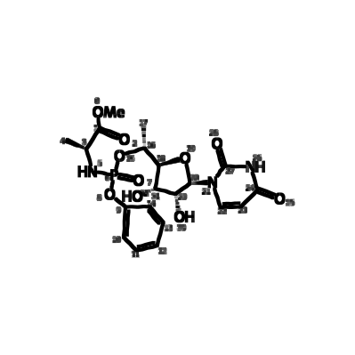 COC(=O)[C@H](C)NP(=O)(Oc1ccccc1)O[C@H](C)[C@H]1O[C@@H](n2ccc(=O)[nH]c2=O)[C@H](O)[C@@H]1O